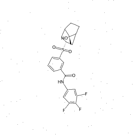 C[C@]1(O)C2CCC1C[C@@H](S(=O)(=O)c1cccc(C(=O)Nc3cc(F)c(F)c(F)c3)c1)C2